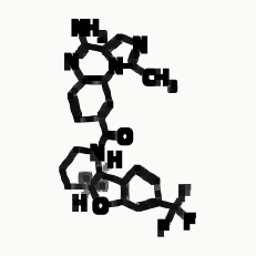 Cc1ncc2c(N)nc3ccc(C(=O)N4CCC[C@@H]5Oc6cc(C(F)(F)F)ccc6[C@@H]54)cc3n12